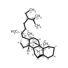 CCC(CC[C@@H](C)[C@H]1CC[C@H]2[C@@H]3CC=C4CCCC[C@]4(C)[C@H]3CC[C@]12C)C(C)C